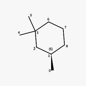 C[C@H]1[CH]C(C)(C)CCC1